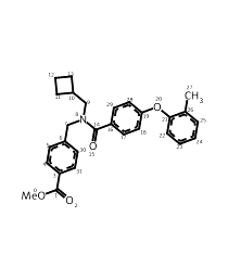 COC(=O)c1ccc(CN(CC2CCC2)C(=O)c2ccc(Oc3ccccc3C)cc2)cc1